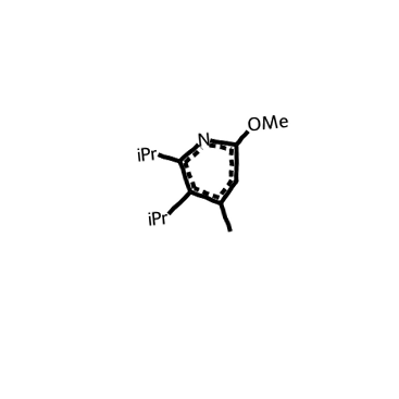 COc1cc(C)c(C(C)C)c(C(C)C)n1